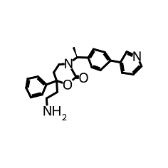 C[C@@H](c1ccc(-c2cccnc2)cc1)N1CCC(CCN)(c2ccccc2)OC1=O